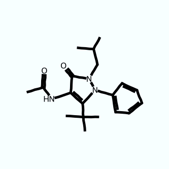 CC(=O)Nc1c(C(C)(C)C)n(-c2ccccc2)n(CC(C)C)c1=O